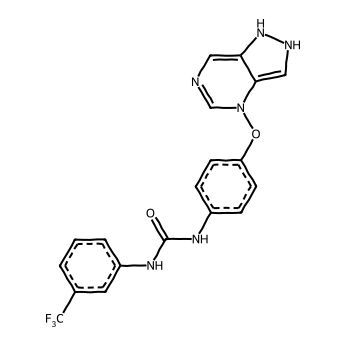 O=C(Nc1ccc(ON2C=NC=C3NNC=C32)cc1)Nc1cccc(C(F)(F)F)c1